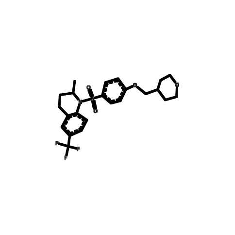 CC1CCc2cc(C(F)(F)F)ccc2N1S(=O)(=O)c1ccc(OCC2CCOCC2)cc1